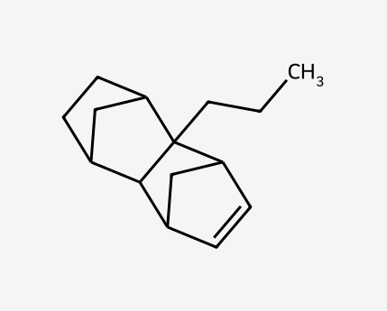 CCCC12C3C=CC(C3)C1C1CCC2C1